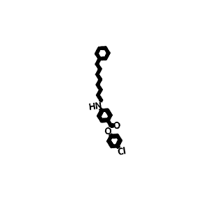 O=C(Oc1ccc(Cl)cc1)c1ccc(NCCCCCCCCC2CCCCC2)cc1